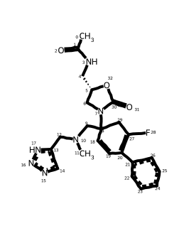 CC(=O)NC[C@H]1CN(C2(CN(C)Cc3cnn[nH]3)C=CC(c3ccccc3)=C(F)C2)C(=O)O1